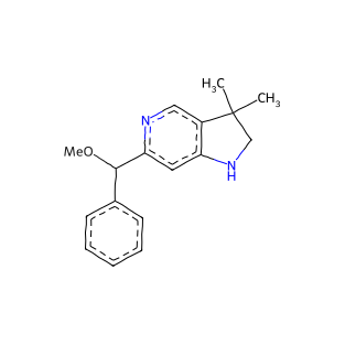 COC(c1ccccc1)c1cc2c(cn1)C(C)(C)CN2